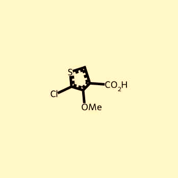 COc1c(C(=O)O)csc1Cl